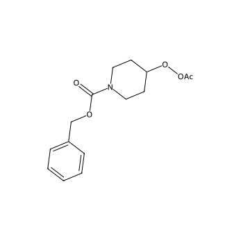 CC(=O)OOC1CCN(C(=O)OCc2ccccc2)CC1